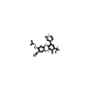 CC(C)=NOc1cc(Oc2cc(F)c(C(F)(F)F)cc2-c2ccnnc2)c(Cl)cc1C#N